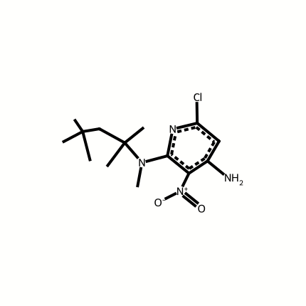 CN(c1nc(Cl)cc(N)c1[N+](=O)[O-])C(C)(C)CC(C)(C)C